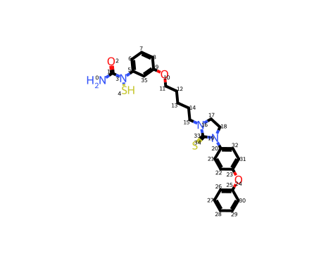 NC(=O)N(S)c1cccc(OCCCCCN2CCN(c3ccc(Oc4ccccc4)cc3)C2=S)c1